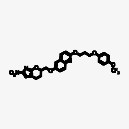 O=[N+]([O-])c1cn2c(n1)OC(COc1ccc3nc(OCCCOc4ccc(OC(F)(F)F)cc4)ccc3c1)CC2